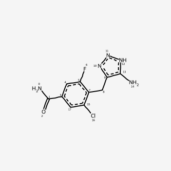 NC(=O)c1cc(F)c(Cc2nn[nH]c2N)c(Cl)c1